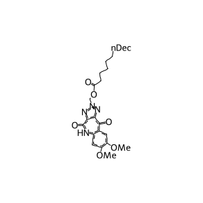 CCCCCCCCCCCCCCCC(=O)OCn1nc2c(=O)[nH]c3cc(OC)c(OC)cc3c(=O)c2n1